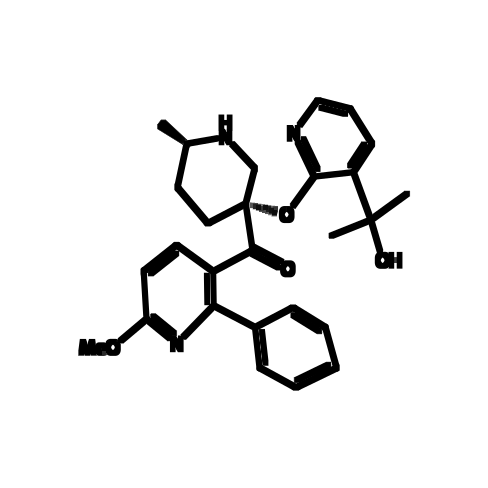 COc1ccc(C(=O)[C@@]2(Oc3ncccc3C(C)(C)O)CC[C@@H](C)NC2)c(-c2ccccc2)n1